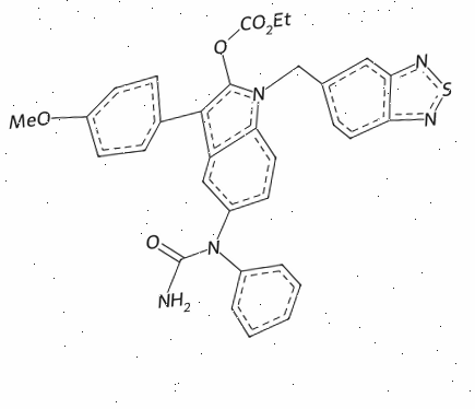 CCOC(=O)Oc1c(-c2ccc(OC)cc2)c2cc(N(C(N)=O)c3ccccc3)ccc2n1Cc1ccc2nsnc2c1